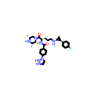 C[C@@H]1CN(C(=O)[C@H](CCCN[C@@H]2C[C@H]2c2ccc(F)cc2)NC(=O)c2ccc(N3C=CNN3)cc2)C[C@H](C)N1